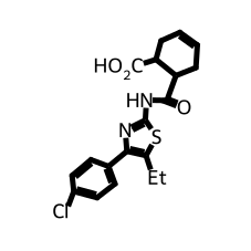 CCc1sc(NC(=O)C2CC=CCC2C(=O)O)nc1-c1ccc(Cl)cc1